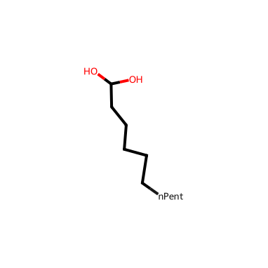 CCCCCCCCCCC(O)O